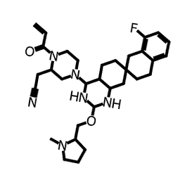 C=CC(=O)N1CCN(C2NC(OCC3CCCN3C)NC3CC4(CCc5cccc(F)c5C4)CCC32)CC1CC#N